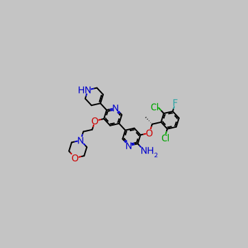 C[C@@H](Oc1cc(-c2cnc(C3=CCNCC3)c(OCCN3CCOCC3)c2)cnc1N)c1c(Cl)ccc(F)c1Cl